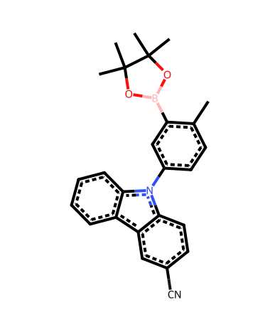 Cc1ccc(-n2c3ccccc3c3cc(C#N)ccc32)cc1B1OC(C)(C)C(C)(C)O1